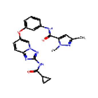 Cc1cc(C(=O)Nc2cccc(Oc3ccc4nc(NC(=O)C5CC5)nn4c3)c2)n(C(C)C)n1